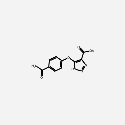 NC(=O)c1ccc(Oc2[nH]nnc2C(=O)O)cc1